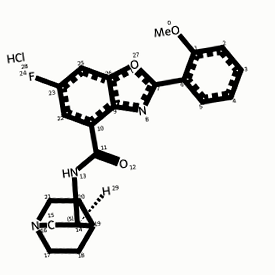 COc1ccccc1-c1nc2c(C(=O)N[C@@H]3CN4CCC3CC4)cc(F)cc2o1.Cl